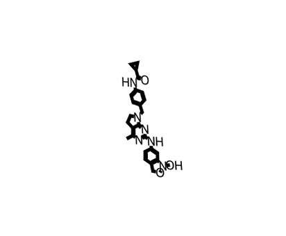 Cc1nc(Nc2ccc3c(c2)N(O)OC3)nc2c1CCN2Cc1ccc(NC(=O)C2CC2)cc1